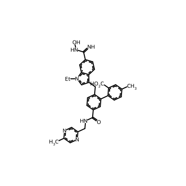 CCn1cc(Cc2ccc(C(=O)NCc3cnc(C)cn3)cc2-c2ccc(C)cc2C(=O)O)c2ccc(C(=N)NO)cc21